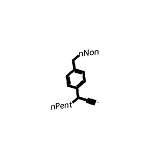 [C]#CC(CCCCC)c1ccc(CCCCCCCCCC)cc1